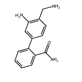 NCc1ccc(-c2ccccc2C(N)=O)cc1N